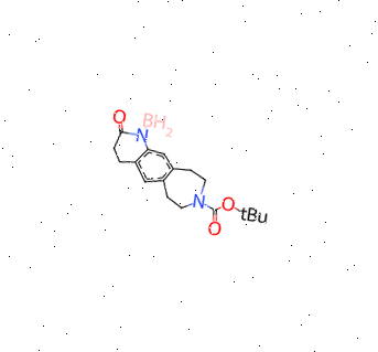 BN1C(=O)CCc2cc3c(cc21)CCN(C(=O)OC(C)(C)C)CC3